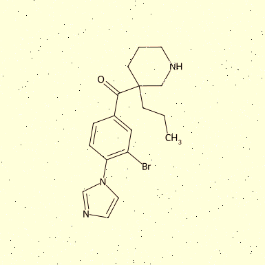 CCCC1(C(=O)c2ccc(-n3ccnc3)c(Br)c2)CCCNC1